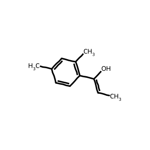 CC=C(O)c1ccc(C)cc1C